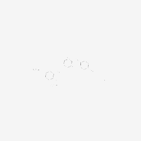 COc1cc(OC)c(Cl)c(N2CCc3nc(Nc4ccc(N5CCC(N(C)C)CC5)cc4)ncc3C2)c1F